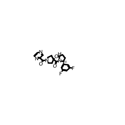 O=C(c1cnccn1)N1CCC2(CC1)O[C@@H]1CC[C@@H](c3cc(F)cc(F)c3)N1C2=O